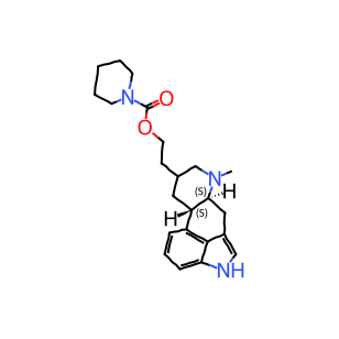 CN1CC(CCOC(=O)N2CCCCC2)C[C@H]2c3cccc4[nH]cc(c34)C[C@@H]21